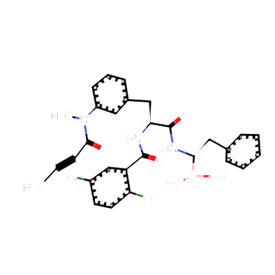 CC#CC(=O)N(C)c1cccc(C[C@H](NC(=O)c2cc(Cl)ccc2Cl)C(=O)N[C@@H](Cc2ccccc2)B(O)O)c1